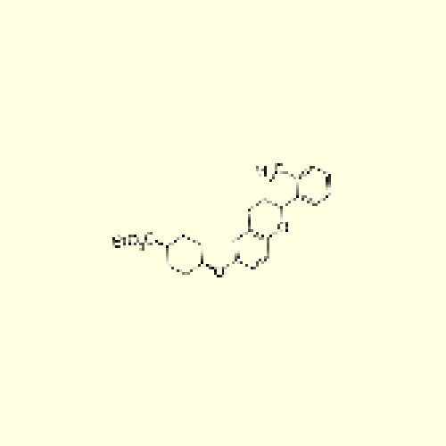 CCOC(=O)[C@H]1CC[C@@H](Oc2ccc3c(c2)CCC(c2ccccc2C)O3)CC1